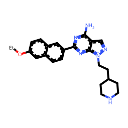 CCOc1ccc2cc(-c3nc(N)c4cnn(CCC5CCNCC5)c4n3)ccc2c1